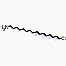 CC/C=C/C=C/C=C/C=C/CCCCCCCCN